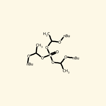 CCCCOC(C)OP(=O)(OC(C)OCCCC)OC(C)OCCCC